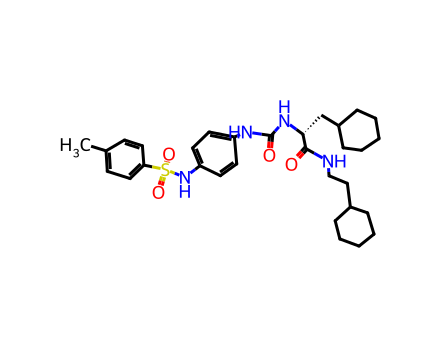 Cc1ccc(S(=O)(=O)Nc2ccc(NC(=O)N[C@H](CC3CCCCC3)C(=O)NCCC3CCCCC3)cc2)cc1